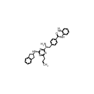 C=CCc1nc(NC2Cc3ccccc3C2)nc(N(N)Cc2ccc(C(=O)Nc3ccccc3N)cc2)n1